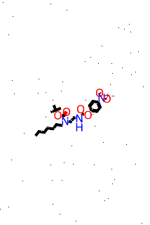 CCCCCCCN(CCNC(=O)Oc1ccc([N+](=O)[O-])cc1)C(=O)OC(C)(C)C